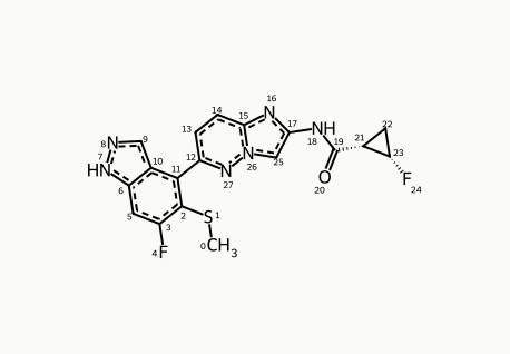 CSc1c(F)cc2[nH]ncc2c1-c1ccc2nc(NC(=O)[C@@H]3C[C@@H]3F)cn2n1